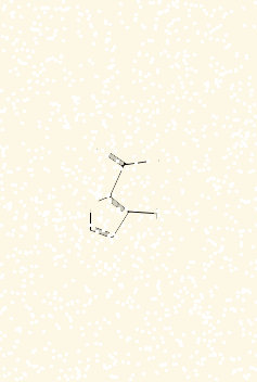 O=C(O)c1occc1F